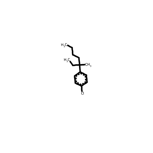 CCCCC(C)(CC)c1ccc(Cl)cc1